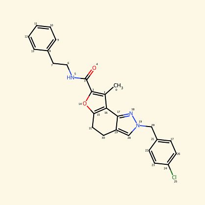 Cc1c(C(=O)NCCc2ccccc2)oc2c1-c1nn(Cc3ccc(Cl)cc3)cc1CC2